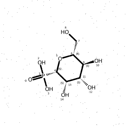 O=P(O)(O)[C@@H]1O[C@H](CO)[C@@H](O)[C@H](O)[C@@H]1O